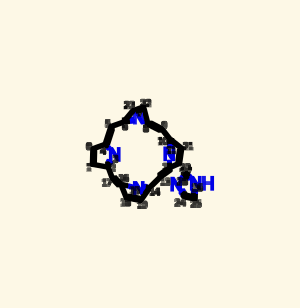 C1=CC2=NC1=CC1=NC(=CC3=NC(=CC4=NC(=C2)C=C4)C=C3)C=C1.c1c[nH]cn1